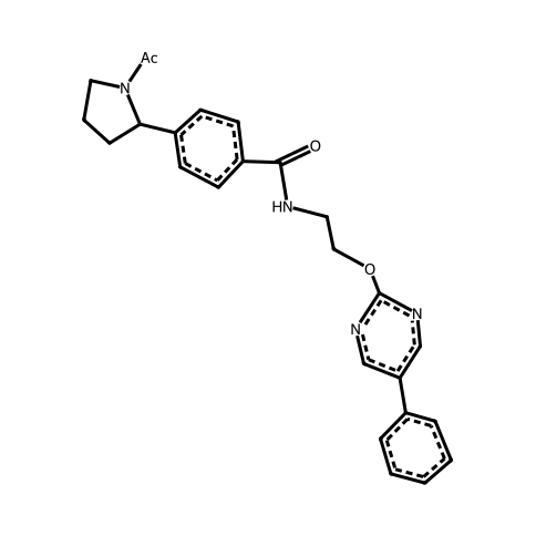 CC(=O)N1CCCC1c1ccc(C(=O)NCCOc2ncc(-c3ccccc3)cn2)cc1